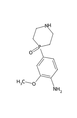 COc1cc(P2(=O)CCNCC2)ccc1N